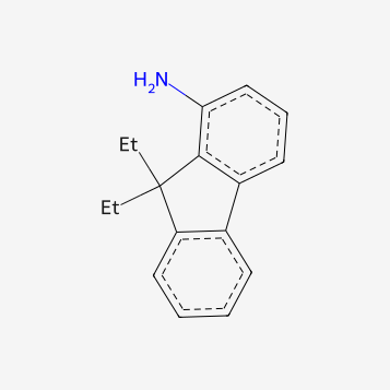 CCC1(CC)c2ccccc2-c2cccc(N)c21